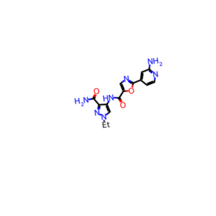 CCn1cc(NC(=O)c2cnc(-c3ccnc(N)c3)o2)c(C(N)=O)n1